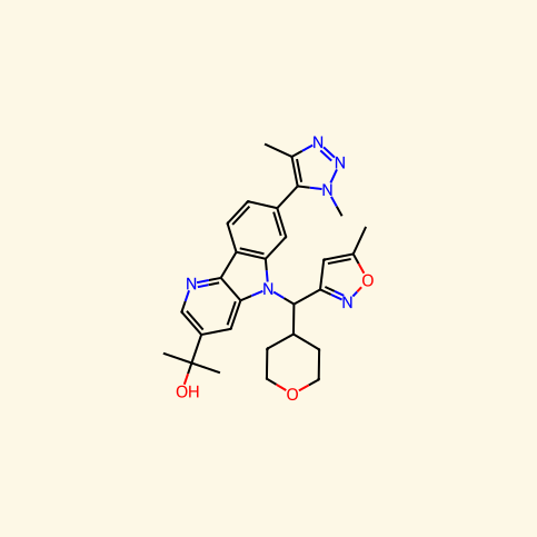 Cc1cc(C(C2CCOCC2)n2c3cc(-c4c(C)nnn4C)ccc3c3ncc(C(C)(C)O)cc32)no1